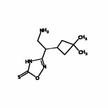 CC1(C)CC(C(CN)c2noc(=S)[nH]2)C1